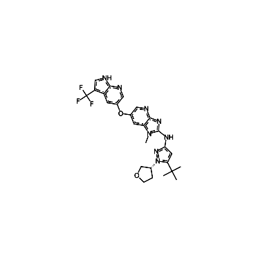 Cn1c(Nc2cc(C(C)(C)C)n([C@@H]3CCOC3)n2)nc2ncc(Oc3cnc4[nH]cc(C(F)(F)F)c4c3)cc21